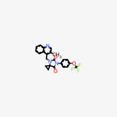 Cc1cnc2ccccc2c1CN1C(=O)N(c2ccc(OC(F)(F)F)cc2)C(=O)C12CC2